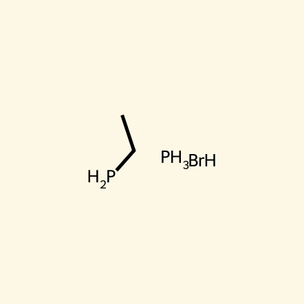 Br.CCP.P